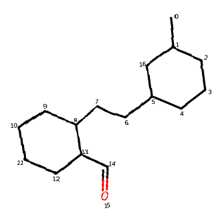 CC1CCCC(CCC2CCCCC2C=O)C1